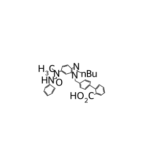 CCCCc1nc2ccc(N(C)C(=O)Nc3ccccc3)cc2n1Cc1ccc(-c2ccccc2C(=O)O)cc1